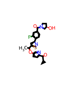 CC(Oc1ccc(C(=O)C2CC2)nc1)c1cc(-c2ccc(C(=O)N3CC[C@@H](O)C3)cc2F)ns1